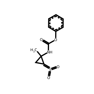 CC1(NC(=O)Oc2ccccc2)CC1=S(=O)=O